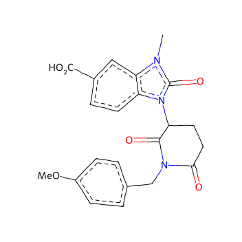 COc1ccc(CN2C(=O)CCC(n3c(=O)n(C)c4cc(C(=O)O)ccc43)C2=O)cc1